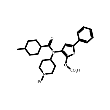 CC1CCC(C(=O)N(c2cc(-c3ccccc3)sc2OC(=O)O)C2CCN(C(C)C)CC2)CC1